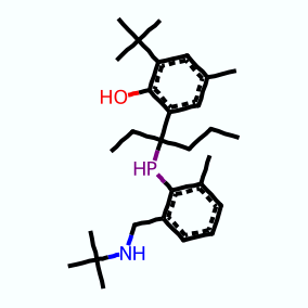 CCCC(CC)(Pc1c(C)cccc1CNC(C)(C)C)c1cc(C)cc(C(C)(C)C)c1O